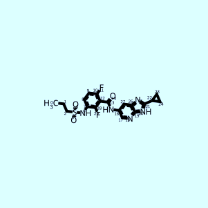 CCCS(=O)(=O)Nc1ccc(F)c(C(=O)Nc2cnc3[nH]c(C4CC4)nc3c2)c1F